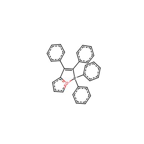 c1ccc(C2=C(c3ccccc3)[B-](c3ccccc3)(c3ccccc3)[o+]3cccc32)cc1